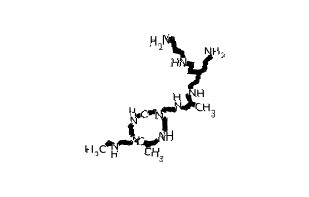 CCNCCN1CCNCCCN(CCNCC(C)CNCCC(CCCN)CCNCCCN)CCNCC(C)C1